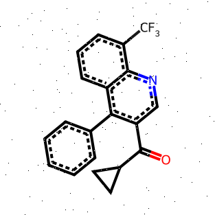 O=C(c1cnc2c(C(F)(F)F)cccc2c1-c1ccccc1)C1CC1